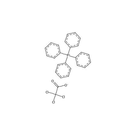 O=C([O-])C(Cl)(Cl)Cl.c1ccc([P+](c2ccccc2)(c2ccccc2)c2ccccc2)cc1